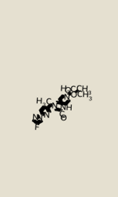 CC(c1ccc(-n2cc(F)cn2)nc1)N1CC(=C=O)NC2(CCN(C(=O)OC(C)(C)C)CC2)C1